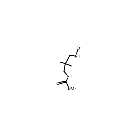 CCNCC(C)(C)CNC(=O)NC